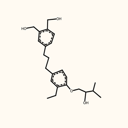 CCc1cc(CCCc2ccc(CO)c(CO)c2)ccc1OCC(O)C(C)C